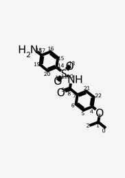 CC(C)Oc1ccc(C(=O)NS(=O)(=O)c2ccc(N)cc2)cc1